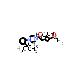 CC(=O)C1CC(CC(=O)N2CCN(c3ccccc3C(C)(C)C)CC2)C1(C)C